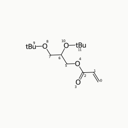 C=CC(=O)OCC(COC(C)(C)C)OC(C)(C)C